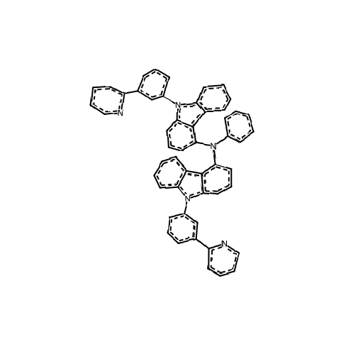 c1ccc(N(c2cccc3c2c2ccccc2n3-c2cccc(-c3ccccn3)c2)c2cccc3c2c2ccccc2n3-c2cccc(-c3ccccn3)c2)cc1